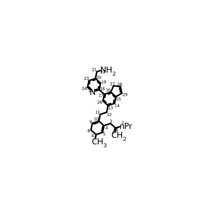 C=C(CCC)CC1=CC(C)CC=C1CCc1cc2c(c(-c3cc(CN)ccn3)c1)CC=C2